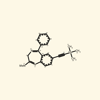 CNC1=Nc2ccc(C#C[Si](C)(C)C)cc2C(c2ccccc2)=NC1